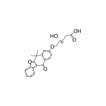 CC1(C)c2cc(OC[C@H](O)CCC(=O)O)ccc2C(=O)c2c1oc1ccccc21